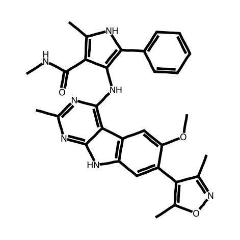 CNC(=O)c1c(C)[nH]c(-c2ccccc2)c1Nc1nc(C)nc2[nH]c3cc(-c4c(C)noc4C)c(OC)cc3c12